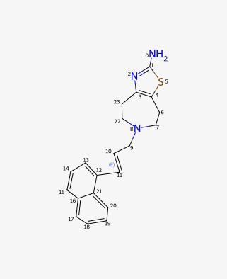 Nc1nc2c(s1)CCN(C/C=C/c1cccc3ccccc13)CC2